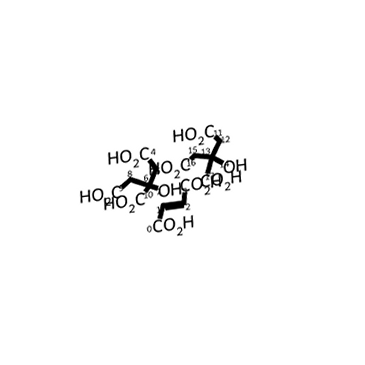 O=C(O)/C=C/C(=O)O.O=C(O)CC(O)(CC(=O)O)C(=O)O.O=C(O)CC(O)(CC(=O)O)C(=O)O